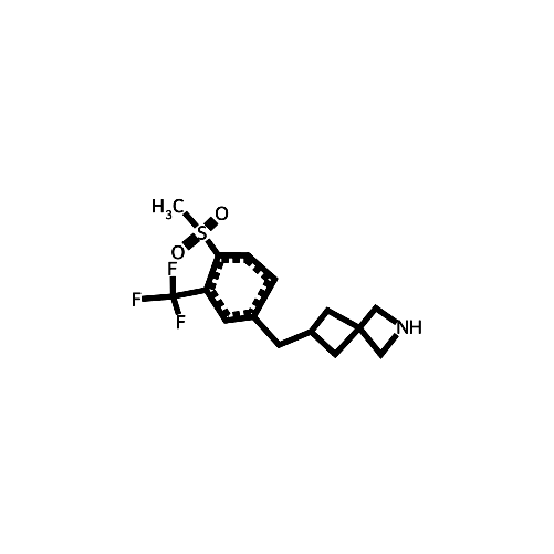 CS(=O)(=O)c1ccc(CC2CC3(CNC3)C2)cc1C(F)(F)F